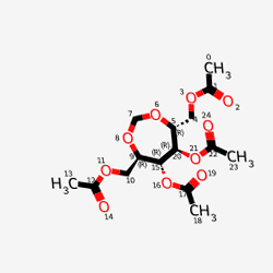 CC(=O)OC[C@H]1OCO[C@H](COC(C)=O)[C@@H](OC(C)=O)[C@@H]1OC(C)=O